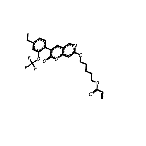 C=CC(=O)OCCCCCOc1cc2oc(=O)c(-c3ccc(CC)cc3OC(F)(F)F)cc2cn1